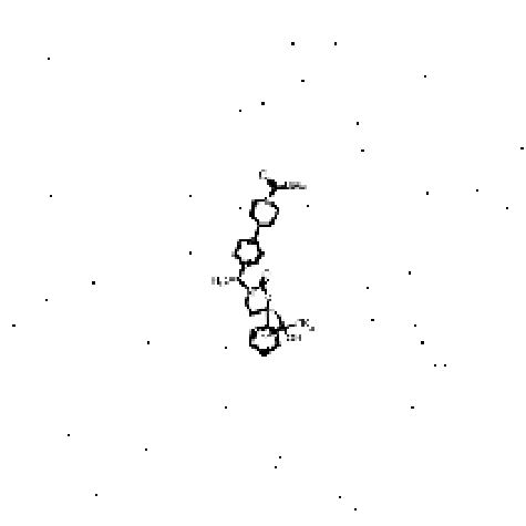 CNC(=O)N1CCC(c2ccc([C@H](C)N3CC[C@](CC(C)(C)O)(c4ccccc4)OC3=O)cc2)CC1